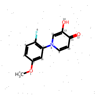 COc1ccc(F)c(-n2ccc(=O)c(O)c2)c1